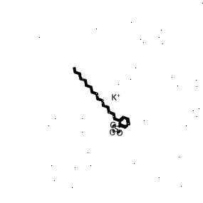 CCCCCCCCCCCCCCCCc1ccccc1S(=O)(=O)[O-].[K+]